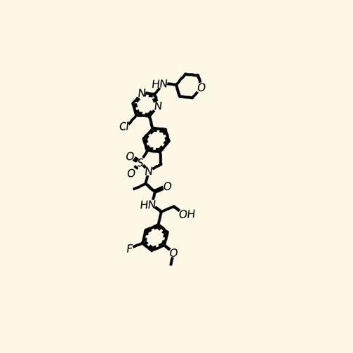 COc1cc(F)cc(C(CO)NC(=O)C(C)N2Cc3ccc(-c4nc(NC5CCOCC5)ncc4Cl)cc3S2(=O)=O)c1